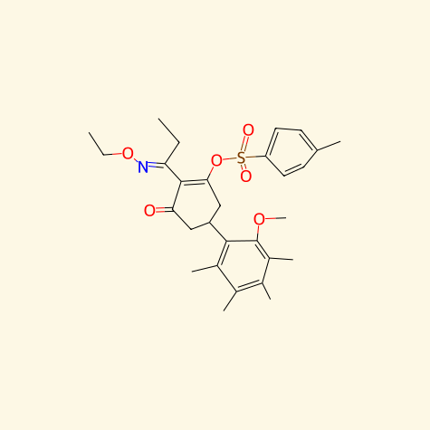 CCON=C(CC)C1=C(OS(=O)(=O)c2ccc(C)cc2)CC(c2c(C)c(C)c(C)c(C)c2OC)CC1=O